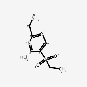 CCS(=O)(=O)c1cnc(CN)nc1.Cl